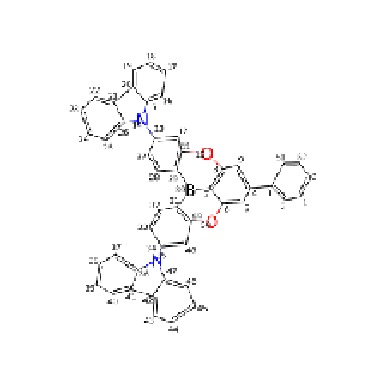 c1ccc(-c2cc3c4c(c2)Oc2cc(-n5c6ccccc6c6ccccc65)ccc2B4c2ccc(-n4c5ccccc5c5ccccc54)cc2O3)cc1